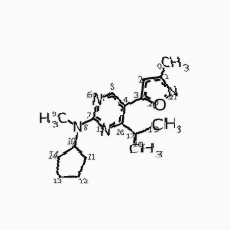 Cc1cc(-c2cnc(N(C)C3CCCC3)nc2C(C)C)on1